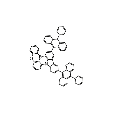 c1ccc(-c2c3ccccc3c(-c3ccc4c(c3)c3cc(-c5c6ccccc6c(-c6ccccc6)c6ccccc56)cc5c3n4-c3cccc4c3B5c3ccccc3O4)c3ccccc23)cc1